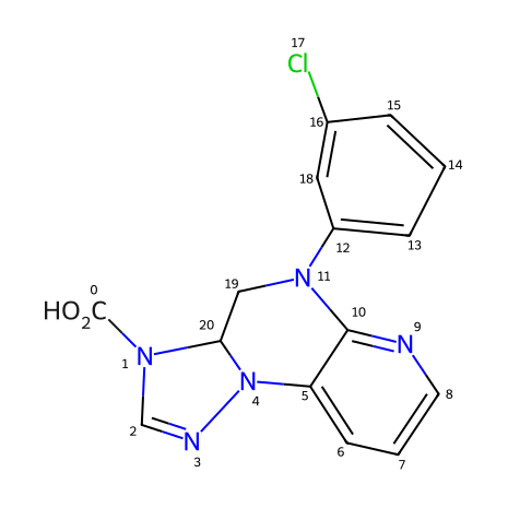 O=C(O)N1C=NN2c3cccnc3N(c3cccc(Cl)c3)CC12